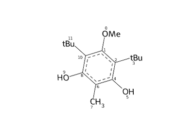 COc1c(C(C)(C)C)c(O)c(C)c(O)c1C(C)(C)C